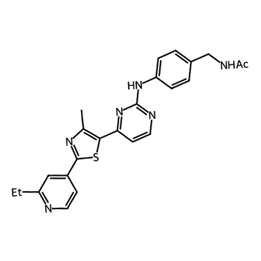 CCc1cc(-c2nc(C)c(-c3ccnc(Nc4ccc(CNC(C)=O)cc4)n3)s2)ccn1